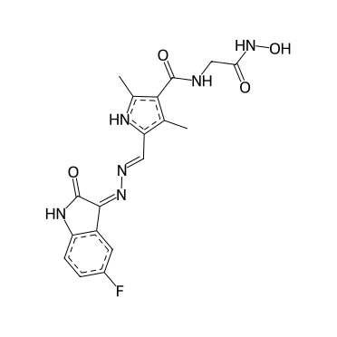 Cc1[nH]c(C=NN=C2C(=O)Nc3ccc(F)cc32)c(C)c1C(=O)NCC(=O)NO